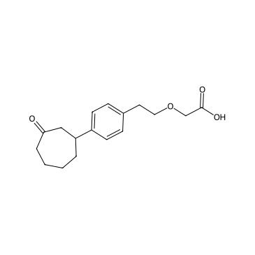 O=C(O)COCCc1ccc(C2CCCCC(=O)C2)cc1